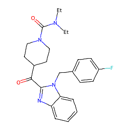 CCN(CC)C(=O)N1CCC(C(=O)c2nc3ccccc3n2Cc2ccc(F)cc2)CC1